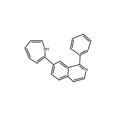 C1=CC=C(c2ccc3ccnc(-c4ccccc4)c3c2)NC=C1